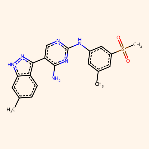 Cc1cc(Nc2ncc(-c3n[nH]c4cc(C)ccc34)c(N)n2)cc(S(C)(=O)=O)c1